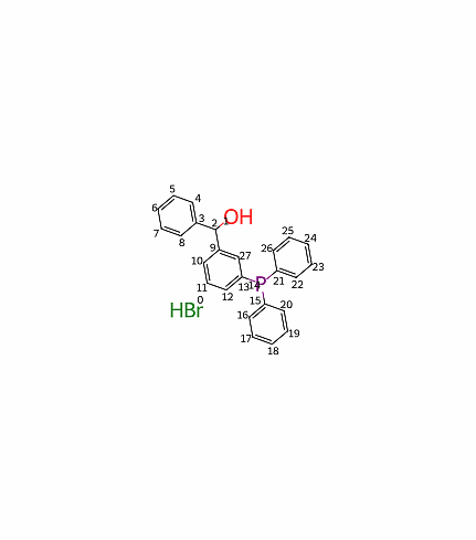 Br.OC(c1ccccc1)c1cccc(P(c2ccccc2)c2ccccc2)c1